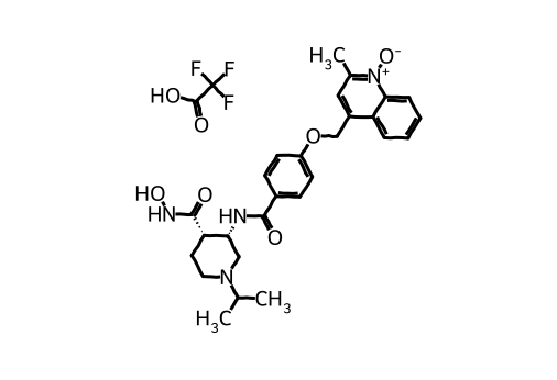 Cc1cc(COc2ccc(C(=O)N[C@@H]3CN(C(C)C)CC[C@@H]3C(=O)NO)cc2)c2ccccc2[n+]1[O-].O=C(O)C(F)(F)F